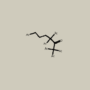 CC(=O)CCCC(C(C)=O)(C(C)=O)C(=O)C(C(C)=O)(C(C)=O)C(C)=O